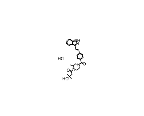 CC1CN(C(=O)c2ccc(C=Cc3n[nH]c4ccccc34)cc2)CCN1C(=O)CC(C)(C)O.Cl